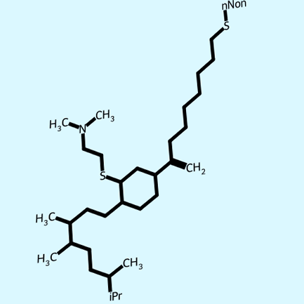 C=C(CCCCCCCSCCCCCCCCC)C1CCC(CCC(C)C(C)CCC(C)C(C)C)C(SCCN(C)C)C1